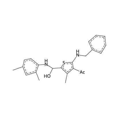 CC(=O)c1c(NCc2ccccc2)sc(C(O)Nc2ccc(C)cc2C)c1C